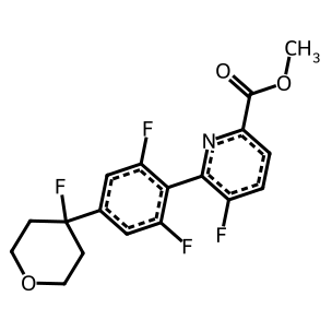 COC(=O)c1ccc(F)c(-c2c(F)cc(C3(F)CCOCC3)cc2F)n1